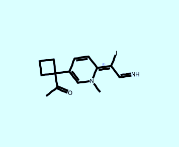 CC(=O)C1(C2=CN(C)/C(=C(/I)C=N)C=C2)CCC1